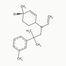 C=CN(CC(C)(C)c1cccc(C)c1)C1C=C[C@](C)(CC)CC1